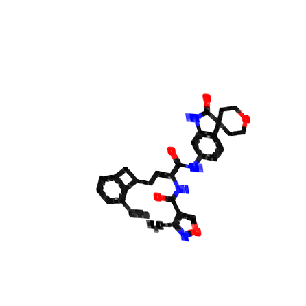 COc1cccc2c1C(CC=C(NC(=O)c1conc1C)C(=O)Nc1ccc3c(c1)NC(=O)C31CCOCC1)C2